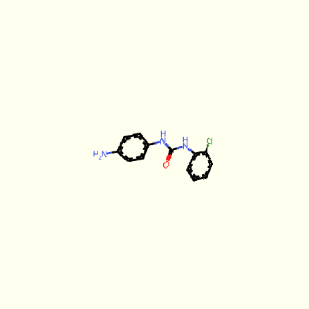 Nc1ccc(NC(=O)Nc2ccccc2Cl)cc1